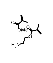 C=C(C)C(=O)OC.C=C(C)C(=O)OCCN